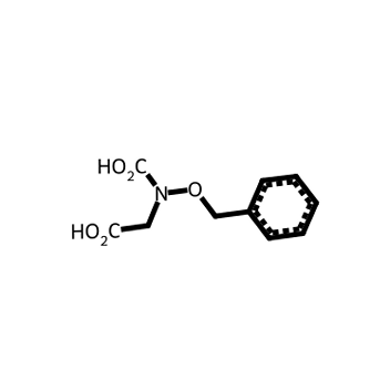 O=C(O)CN(OCc1ccccc1)C(=O)O